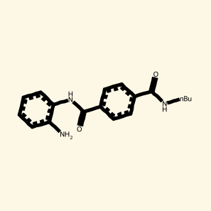 CCCCNC(=O)c1ccc(C(=O)Nc2ccccc2N)cc1